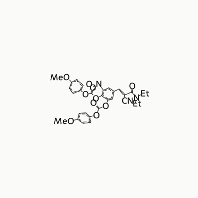 CCN(CC)C(=O)/C(C#N)=C/c1cc(OC(=O)Oc2ccc(OC)cc2)c(OC(=O)Oc2ccc(OC)cc2)c([N+](=O)[O-])c1